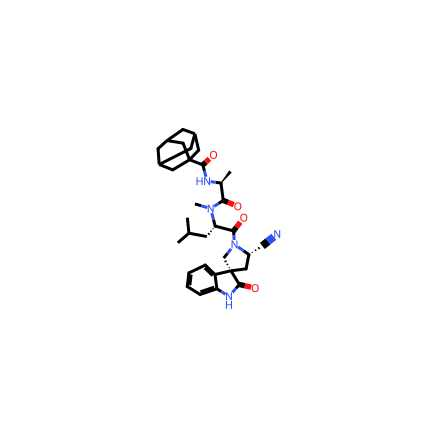 CC(C)C[C@@H](C(=O)N1C[C@]2(C[C@H]1C#N)C(=O)Nc1ccccc12)N(C)C(=O)[C@H](C)NC(=O)C12CC3CC(CC(C3)C1)C2